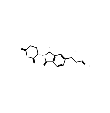 C=CC[C@@H](O)c1ccc2c(c1)[C@@H](C)N([C@@H]1CCC(=O)NC1=O)C2=O